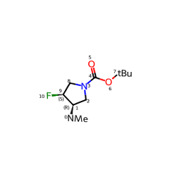 CN[C@@H]1CN(C(=O)OC(C)(C)C)C[C@@H]1F